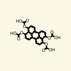 O=C(O)Oc1ccc2c3ccc(OC(=O)O)c4c(OC(=O)O)ccc(c5ccc(OC(=O)O)c1c25)c43